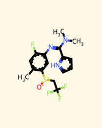 Cc1cc(F)c(/N=C(\c2ccc[nH]2)N(C)C)cc1[S+]([O-])CC(F)(F)F